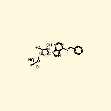 OC1[C@@H](COP(O)(O)=S)O[C@@H](n2cnc3c(NCc4ccccc4)ncnc32)[C@H]1O